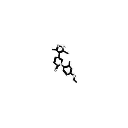 CCOc1ccc(-n2cc(-c3c(C)n[nH]c3C)ccc2=O)c(C)c1